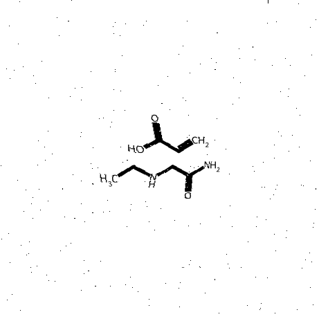 C=CC(=O)O.CCNCC(N)=O